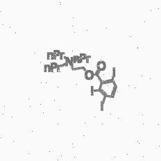 CCC[N+](CCC)(CCC)CCOC(=O)c1c(I)ccc(I)c1I